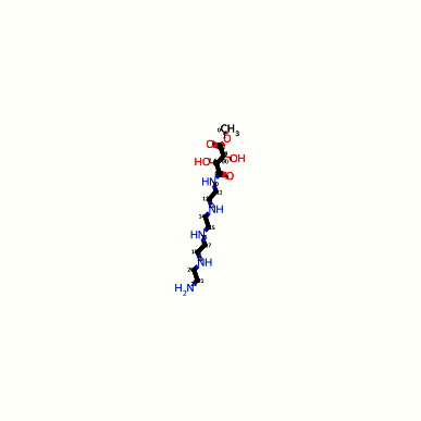 COC(=O)[C@H](O)[C@@H](O)C(=O)NCCNCCNCCNCCN